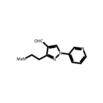 CNCCc1nn(-c2cccnc2)cc1C=O